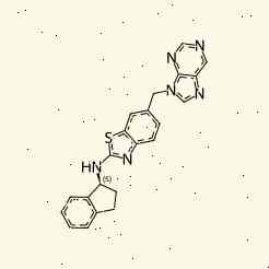 c1ccc2c(c1)CC[C@@H]2Nc1nc2ccc(Cn3cnc4cncnc43)cc2s1